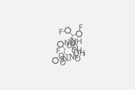 COC(=O)N[C@H](CNc1cccc(F)c1CCC1CN(C(=O)O)CCN1S(=O)(=O)c1ccccc1)C(c1cccc(F)c1)c1cccc(F)c1